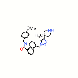 COc1ccc(CN2C(=O)c3cccc4c(Cn5cc(C6(C)CCNCC6)nn5)ccc2c34)cc1